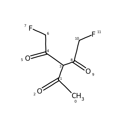 CC(=O)C(C(=O)CF)C(=O)CF